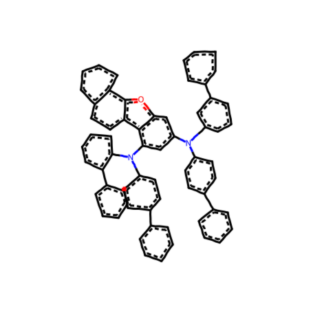 c1ccc(-c2ccc(N(c3cccc(-c4ccccc4)c3)c3cc(N(c4ccc(-c5ccccc5)cc4)c4ccccc4-c4ccccc4)c4c(c3)oc3c5ccccc5ccc34)cc2)cc1